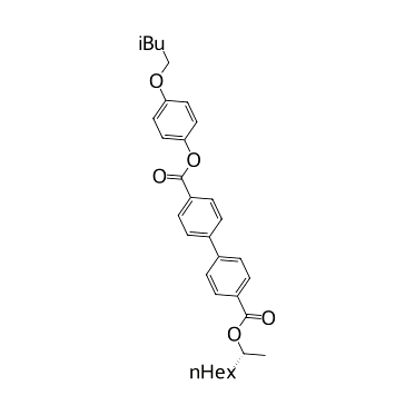 CCCCCC[C@@H](C)OC(=O)c1ccc(-c2ccc(C(=O)Oc3ccc(OCC(C)CC)cc3)cc2)cc1